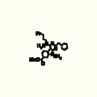 COC(=O)c1ccc2c3c(N(N)CCCC(C)C)nc(Cc4ccccc4)nc3n(N)c2c1